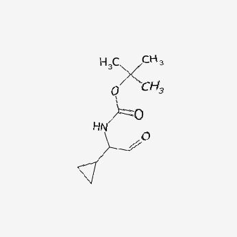 CC(C)(C)OC(=O)NC(C=O)C1CC1